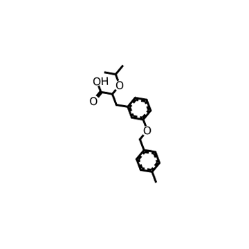 Cc1ccc(COc2cccc(CC(OC(C)C)C(=O)O)c2)cc1